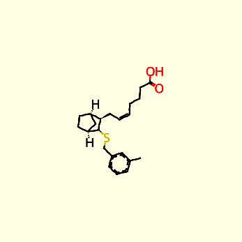 Cc1cccc(CS[C@H]2[C@H]3CC[C@H](C3)[C@H]2C/C=C\CCCC(=O)O)c1